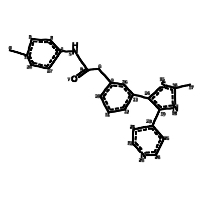 Cc1ccc(NC(=O)Cc2cccc(-c3sc(C)nc3-c3ccncc3)c2)cc1